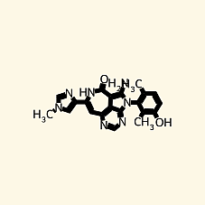 Cc1ccc(O)c(C)c1-n1c(N)c2c3c(ncnc31)C=C(c1cn(C)cn1)NC2=O